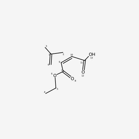 C=C(C)C.CCOC(=O)/C=C\C(=O)O